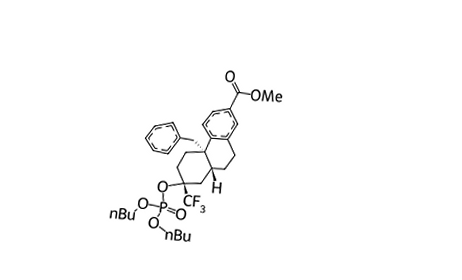 CCCCOP(=O)(OCCCC)O[C@]1(C(F)(F)F)CC[C@@]2(Cc3ccccc3)c3ccc(C(=O)OC)cc3CC[C@@H]2C1